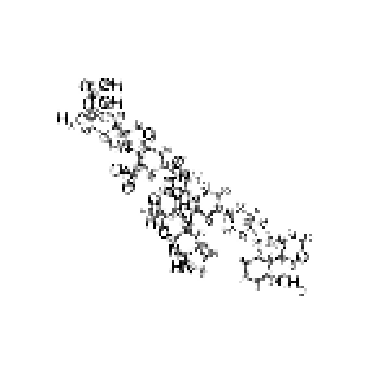 Cc1ccccc1[C@@H]1COCCN1C1CC2(CCN(c3ccc(C(=O)NS(=O)(=O)c4cc5c(c([N+](=O)[O-])c4)N[C@H](C4CCC(C)(OP(=O)(O)O)CC4)CO5)c(N4c5cc6cc[nH]c6nc5O[C@H]5COCC[C@@H]54)c3)CC2)C1